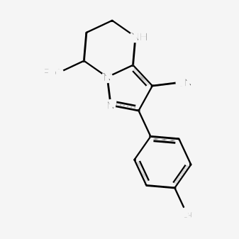 N#Cc1c(-c2ccc(Br)cc2)nn2c1NCCC2C(F)(F)F